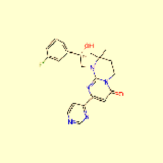 CC1(C)CCn2c(nc(-c3ccncn3)cc2=O)N1C[C@@H](O)c1cccc(F)c1